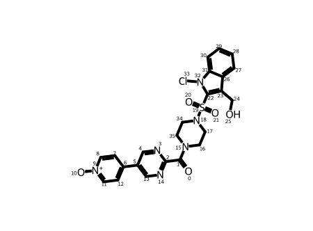 O=C(c1ncc(-c2cc[n+]([O-])cc2)cn1)N1CCN(S(=O)(=O)c2c(CO)c3ccccc3n2Cl)CC1